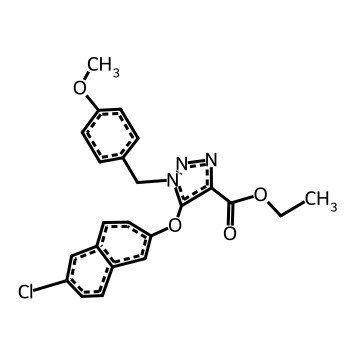 CCOC(=O)c1nnn(Cc2ccc(OC)cc2)c1Oc1ccc2cc(Cl)ccc2c1